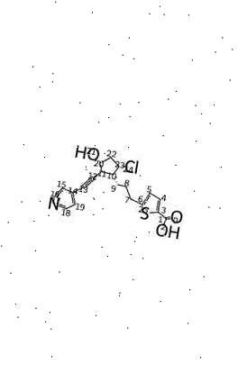 O=C(O)c1ccc(CCC[C@@H]2[C@@H](C#Cc3ccncc3)[C@H](O)C[C@@H]2Cl)s1